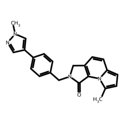 Cc1ccc2ccc3c(n12)C(=O)N(Cc1ccc(-c2cnn(C)c2)cc1)C3